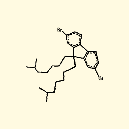 CC(C)CCCCCC1(CCCCCC(C)C)c2cc(Br)ccc2-c2ccc(Br)cc21